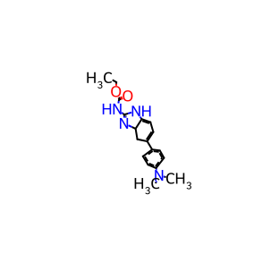 CCOC(=O)NC1=NC2CC(c3ccc(N(C)C)cc3)=CC=C2N1